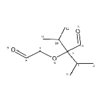 CC(C)C([C]=O)(OC[C]=O)C(C)C